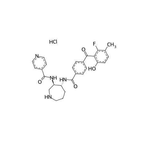 Cc1ccc(O)c(C(=O)c2ccc(C(=O)N[C@@H]3CCCNC[C@H]3NC(=O)c3ccncc3)cc2)c1F.Cl